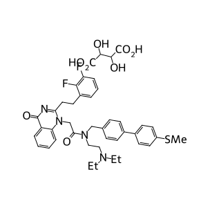 CCN(CC)CCN(Cc1ccc(-c2ccc(SC)cc2)cc1)C(=O)Cn1c(CCc2cccc(F)c2F)nc(=O)c2ccccc21.O=C(O)C(O)C(O)C(=O)O